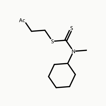 CC(=O)CCSC(=S)N(C)C1CCCCC1